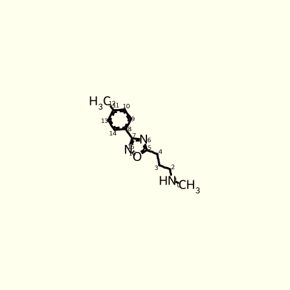 CNCCCc1nc(-c2ccc(C)cc2)no1